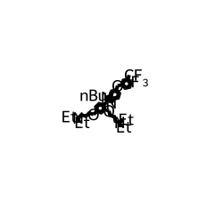 CCCCn1c(-c2ccc(OCCCN(CC)CC)cc2OCCCN(CC)CC)nc2ccc(Oc3ccc(F)c(C(F)(F)F)c3)cc21